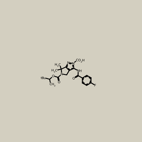 CC(OC(=O)N1Cc2c(nn(C(=O)O)c2NC(=O)c2ccc(F)cc2)C1(C)C)C(C)(C)C